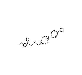 CCOC(=O)CCCN1CCN(c2ccc(Cl)cc2)CC1